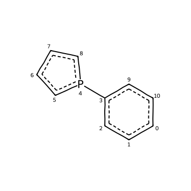 c1ccc(-p2cccc2)cc1